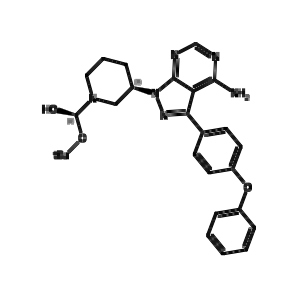 CC(C)(C)O[C@@H](O)N1CCC[C@@H](n2nc(-c3ccc(Oc4ccccc4)cc3)c3c(N)ncnc32)C1